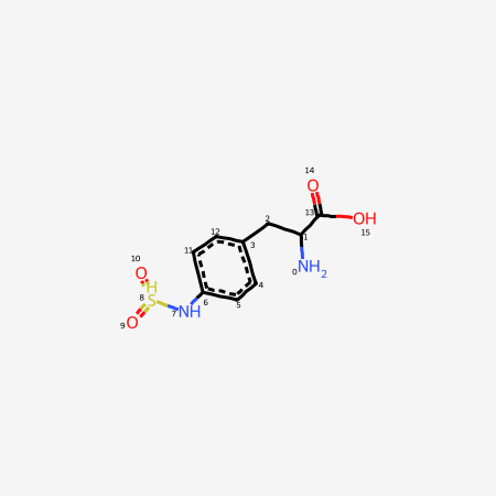 NC(Cc1ccc(N[SH](=O)=O)cc1)C(=O)O